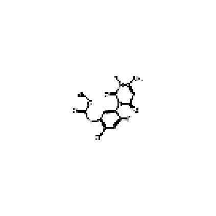 CCCCOC(=O)Oc1cc(-n2c(=O)cc(C(F)(F)F)n(C)c2=O)c(F)cc1Cl